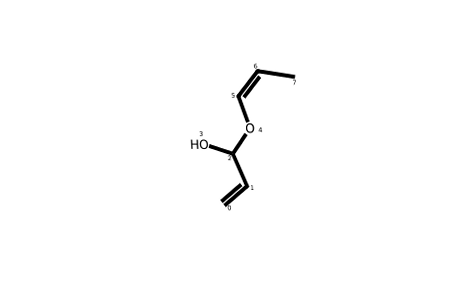 C=CC(O)O/C=C\C